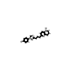 Fc1ccc(N2[CH]SC(CCCc3ccc4c(n3)CCCN4)=N2)cc1